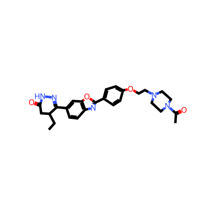 CCC1CC(=O)NN=C1c1ccc2nc(-c3ccc(OCCN4CCN(C(C)=O)CC4)cc3)oc2c1